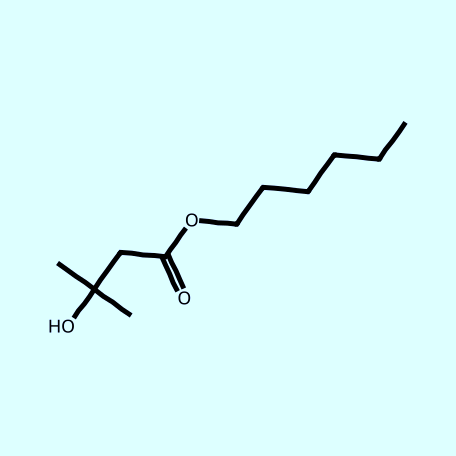 CCCCCCOC(=O)CC(C)(C)O